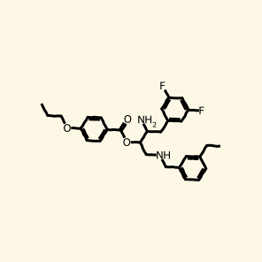 CCCOc1ccc(C(=O)OC(CNCc2cccc(CC)c2)C(N)Cc2cc(F)cc(F)c2)cc1